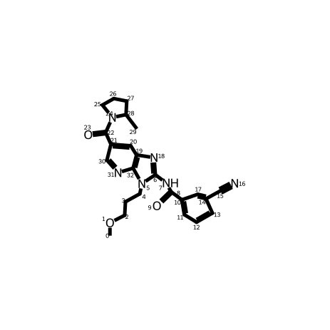 COCCCn1c(NC(=O)c2cccc(C#N)c2)nc2cc(C(=O)N3CCCC3C)cnc21